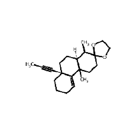 CC#C[C@]12CCCC=C1C1(C)CCC3(OCCO3)C(C)[C@@H]1CC2